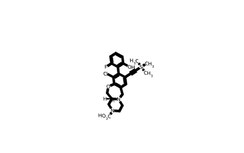 C[Si](C)(C)C#Cc1cc2c(c(Cl)c1-c1c(O)cccc1F)OC[C@H]1CN(C(=O)O)CCN1C2